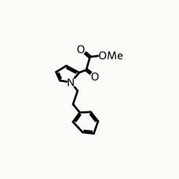 COC(=O)C(=O)c1cccn1CCc1ccccc1